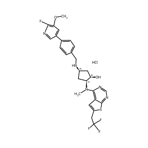 COc1cc(-c2ccc(CN[C@H]3C[C@@H](O)[C@@H](N(C)c4ncnc5sc(CC(F)(F)F)cc45)C3)cc2)cnc1F.Cl